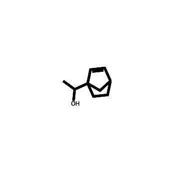 CC(O)C12C=CC(CC1)C2